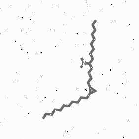 CCCCCCCCCCCC1CC1CCCCC(CCCCCCCCC)N(C)C